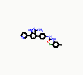 Cc1ccc(F)c(NC(=O)Nc2ccc(-c3ccc(-c4cccnc4)c4[nH]nc(N)c34)cc2)c1